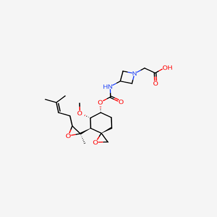 CO[C@@H]1[C@H](OC(=O)NC2CN(CC(=O)O)C2)CC[C@]2(CO2)[C@H]1[C@@]1(C)OC1CC=C(C)C